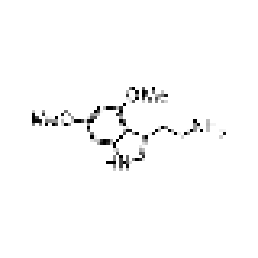 COc1cc(OC)c2c(CCN)c[nH]c2c1